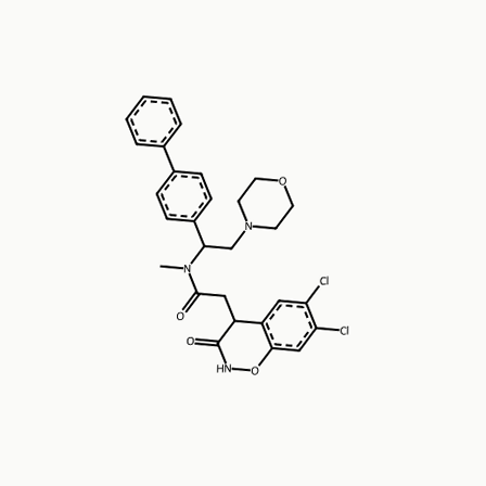 CN(C(=O)CC1C(=O)NOc2cc(Cl)c(Cl)cc21)C(CN1CCOCC1)c1ccc(-c2ccccc2)cc1